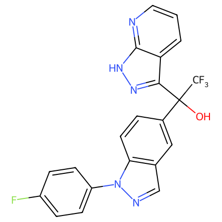 OC(c1ccc2c(cnn2-c2ccc(F)cc2)c1)(c1n[nH]c2ncccc12)C(F)(F)F